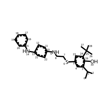 CC(C)c1cc(SCCNc2ccc(Nc3ccccc3)cc2)cc(C(C)(C)C)c1O